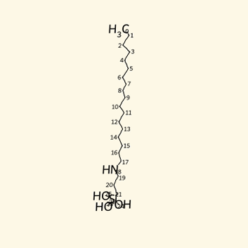 CCCCCCCCCCCCCCCCCCNCCC[Si](O)(O)O